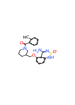 N#Cc1ccccc1C(=O)N1CCCC(COc2cccc3c2C(N)=N[S+]([O-])N3)C1